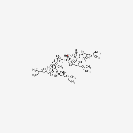 CCC(CC(O)COC(C)CN)OCC(COC(C)(CC)CC(O)COC(C)CN)C(C)(CN)OC(CO)CC(C)(CC)OCCOC(C)(CC)CC(CO)OC(C)(CN)C(COC(C)(CC)CC(O)COC(C)CN)COC(C)(CC)CC(O)COC(C)CN